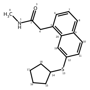 CNC(=O)Cc1cccc2ccc(SC3CCCC3)cc12